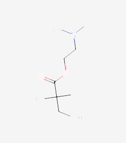 CC(C)N(CCOC(=O)C(C)(CC(C)(C)C)C(C)(C)C)C(C)C